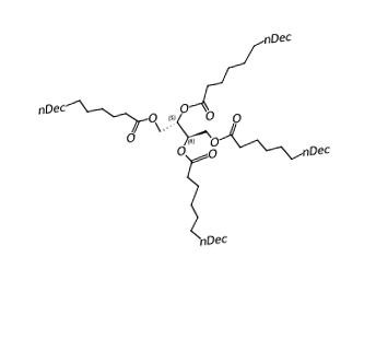 CCCCCCCCCCCCCCCC(=O)OC[C@H](OC(=O)CCCCCCCCCCCCCCC)[C@@H](COC(=O)CCCCCCCCCCCCCCC)OC(=O)CCCCCCCCCCCCCCC